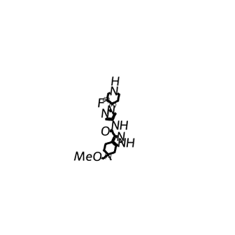 COC[C@]1(C)CCc2c(C(=O)Nc3cnn([C@@H]4CCNC[C@H]4F)c3)n[nH]c2C1